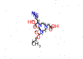 CCCCOC(=O)CN1CCN(CC(=O)O)CCN(C(CCN=[N+]=[N-])C(=O)O)CC1